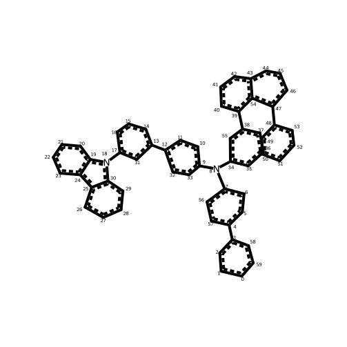 c1ccc(-c2ccc(N(c3ccc(-c4cccc(-n5c6ccccc6c6ccccc65)c4)cc3)c3cccc(-c4cccc5cccc(-c6ccccc6)c45)c3)cc2)cc1